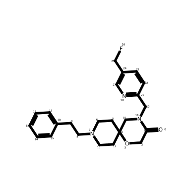 O=C1COC2(CCN(CCc3ccccc3)CC2)CN1Cc1ccc(CF)cn1